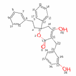 O=C1OC(CCc2ccccc2)(c2ccccc2)CC(O)=C1Cc1cccc(O)c1